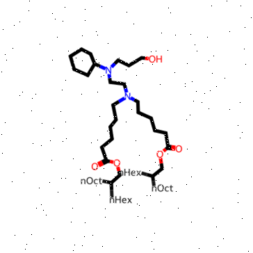 CCCCCCCCC(CCCCCC)COC(=O)CCCCCN(CCCCCC(=O)OCC(CCCCCC)CCCCCCCC)CCN(CCCO)C1CCCCC1